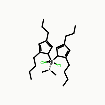 CCCCC1=CC(CCC)=C[CH]1[Hf]([Cl])([Cl])([CH]1C=C(CCC)C=C1CCCC)[SiH](C)C